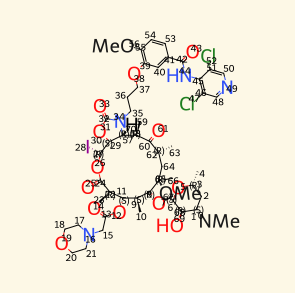 CN[C@H]1C[C@@H](C)O[C@@H](O[C@@H]2[C@@H](C)[C@H](OC(=O)CN3CCOCC3)[C@@H](C)C(=O)O[C@H](I)[C@@]3(C)OC(=O)N(CCCOc4cc(C(=O)Nc5c(Cl)cncc5Cl)ccc4OC)[C@@H]3[C@@H](C)C(=O)[C@H](C)C[C@@]2(C)OC)[C@@H]1O